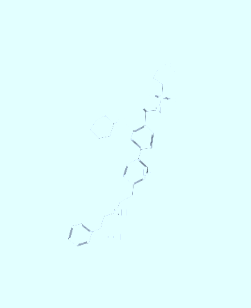 Cl.O=C(O)CCS(=O)(=O)NC(=O)c1ccc(-c2ccc(CCNC[C@H](O)c3ccccc3)cc2)cc1OC1CCCCC1